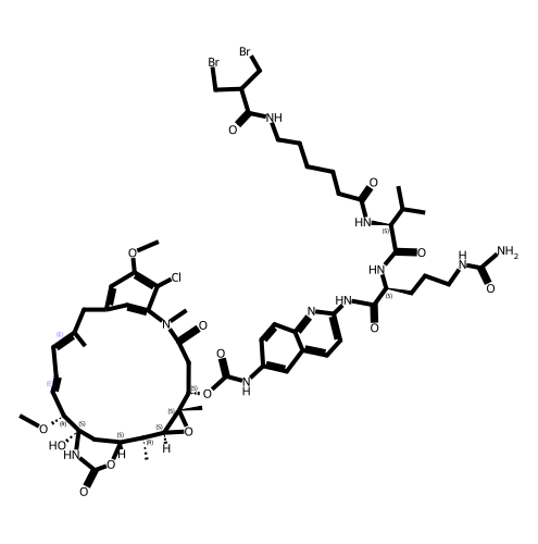 COc1cc2cc(c1Cl)N(C)C(=O)C[C@H](OC(=O)Nc1ccc3nc(NC(=O)[C@H](CCCNC(N)=O)NC(=O)[C@@H](NC(=O)CCCCCNC(=O)C(CBr)CBr)C(C)C)ccc3c1)[C@]1(C)O[C@H]1[C@H](C)[C@@H]1C[C@@](O)(NC(=O)O1)[C@H](OC)/C=C/C=C(\C)C2